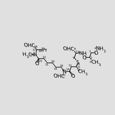 CC(CON)ONC(C=O)CSC(C)CC(=O)N(C=O)CCCCCC(=O)N(C)C(C=O)C(C)C